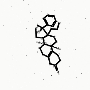 CCCC1(C(C)(O)c2ccccc2)CC[C@@H]2C3=C(CC[C@H]2C1CC)CC(=O)CC3